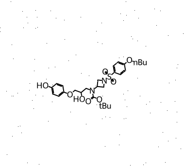 CCCCOc1ccc(S(=O)(=O)N2CC(N(CC(O)COc3ccc(O)cc3)C(=O)OC(C)(C)C)C2)cc1